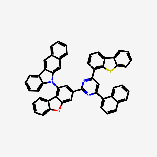 c1ccc2cc3c(cc2c1)c1ccccc1n3-c1cc(-c2nc(-c3cccc4ccccc34)cc(-c3cccc4c3sc3ccccc34)n2)cc2oc3ccccc3c12